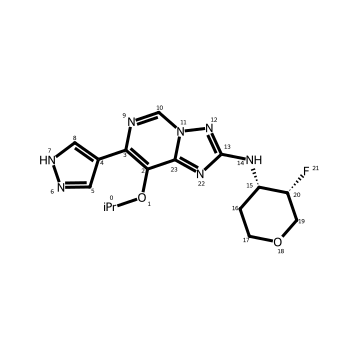 CC(C)Oc1c(-c2cn[nH]c2)ncn2nc(N[C@H]3CCOC[C@H]3F)nc12